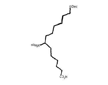 CCCCCCCCCCCCCCCCC(CCCCCCC)CCCCCC(=O)O